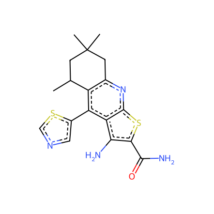 CC1CC(C)(C)Cc2nc3sc(C(N)=O)c(N)c3c(-c3cncs3)c21